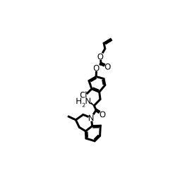 C=CCOC(=O)Oc1ccc(C[C@H](N)C(=O)N2CC(C)Cc3ccccc32)c(Cl)c1